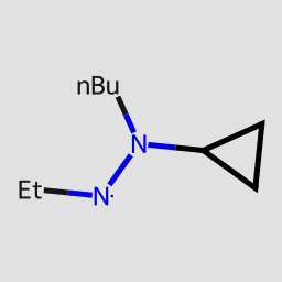 CCCCN([N]CC)C1CC1